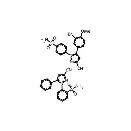 COc1ccc(-c2cc(C#N)nn2-c2ccc(S(N)(=O)=O)cc2)cc1Br.N#Cc1cc(-c2ccccc2)n(-c2ccccc2S(N)(=O)=O)n1